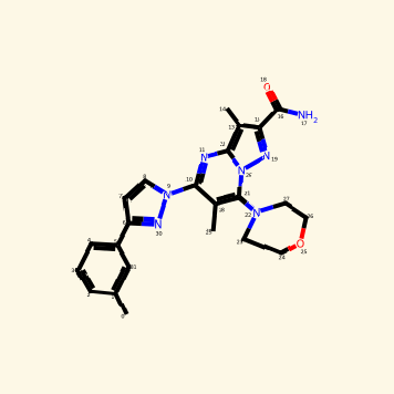 Cc1cccc(-c2ccn(-c3nc4c(C)c(C(N)=O)nn4c(N4CCOCC4)c3C)n2)c1